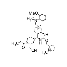 C=CC(=O)N1CCN(C2NC(OCC3CCCN3C)NC3C[C@@]4(CCC32)Cc2cccc(OC)c2N(C)C4)CC1CC#N